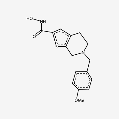 COc1ccc(CN2CCc3cc(C(=O)NO)sc3C2)cc1